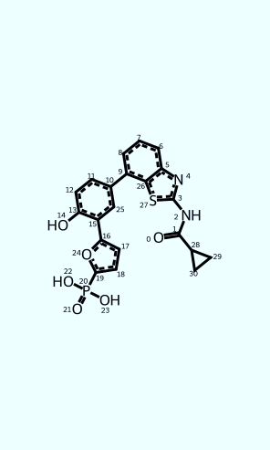 O=C(Nc1nc2cccc(-c3ccc(O)c(-c4ccc(P(=O)(O)O)o4)c3)c2s1)C1CC1